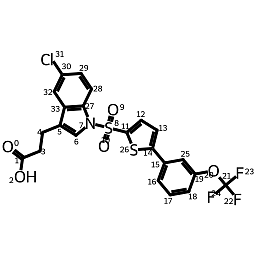 O=C(O)CCc1cn(S(=O)(=O)c2ccc(-c3cccc(OC(F)(F)F)c3)s2)c2ccc(Cl)cc12